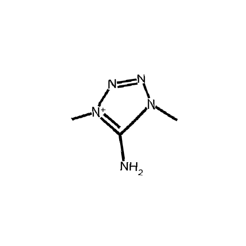 Cn1nn[n+](C)c1N